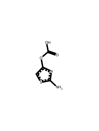 Nc1nc(OC(=O)O)cs1